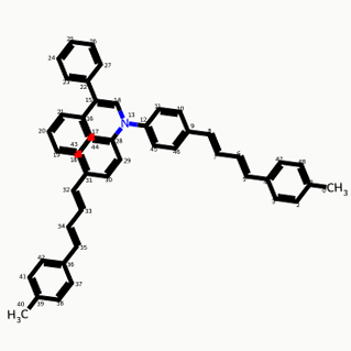 Cc1ccc(C=CC=Cc2ccc(N(C=C(c3ccccc3)c3ccccc3)c3ccc(C=CC=Cc4ccc(C)cc4)cc3)cc2)cc1